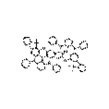 CC1(C)c2ccccc2-c2cc3c4c(c21)Oc1cc2c5c6c(cc2c2c1[SiH]4c1c(cccc1N2c1ccccc1)N3c1ccccc1)Oc1c2c(cc3c1C(C)(C)c1ccccc1-3)N(c1ccccc1)c1cccc(c1[SiH]26)N5c1ccccc1